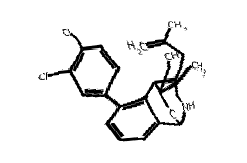 C=C(C)CC1NC2CC(C)(C)C1c1c(-c3ccc(Cl)c(Cl)c3)cccc12